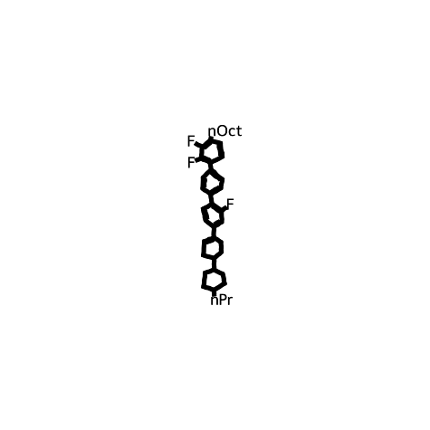 CCCCCCCCc1ccc(-c2ccc(-c3ccc(C4=CCC(C5CCC(CCC)CC5)CC4)cc3F)cc2)c(F)c1F